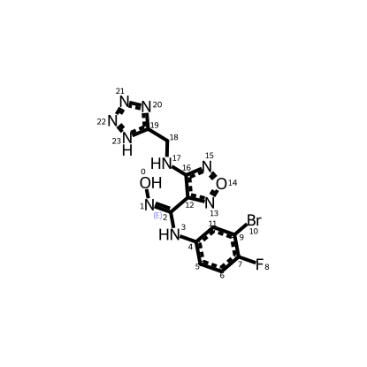 O/N=C(/Nc1ccc(F)c(Br)c1)c1nonc1NCc1nnn[nH]1